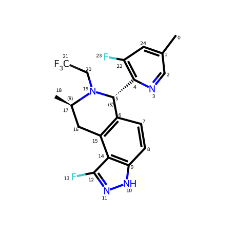 Cc1cnc([C@@H]2c3ccc4[nH]nc(F)c4c3C[C@@H](C)N2CC(F)(F)F)c(F)c1